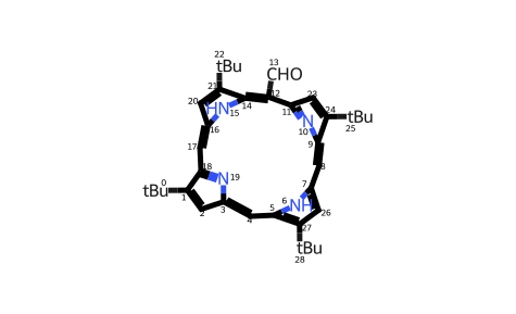 CC(C)(C)C1=Cc2cc3[nH]c(cc4nc(c(C=O)c5[nH]c(cc1n2)cc5C(C)(C)C)C=C4C(C)(C)C)cc3C(C)(C)C